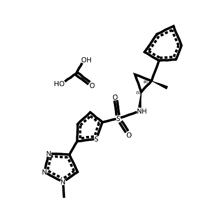 Cn1cc(-c2ccc(S(=O)(=O)N[C@H]3C[C@]3(C)c3ccccc3)s2)nn1.O=C(O)O